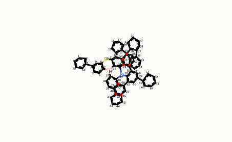 c1ccc(-c2ccc3c(c2)Sc2cc(C4(c5ccccc5)c5ccccc5-c5ccccc54)cc4c2B3c2ccc(-c3ccccc3)cc2N4c2c(-c3ccccc3)cc(-c3ccccc3)cc2-c2ccccc2)cc1